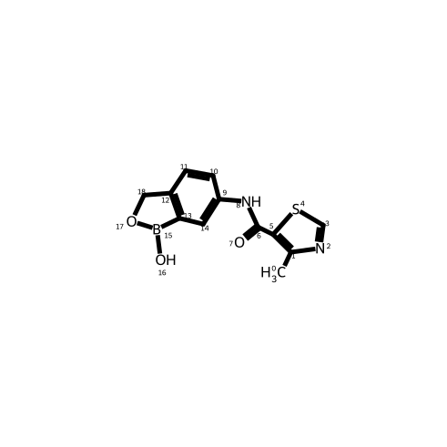 Cc1ncsc1C(=O)Nc1ccc2c(c1)B(O)OC2